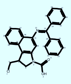 O=C(O)N1CC(CCl)c2c1cc(N=C(c1ccccc1)c1ccccc1)c1ccccc21